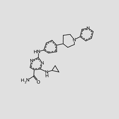 NC(=O)c1cnc(Nc2ccc(C3CCN(c4cccnc4)CC3)cc2)nc1NC1CC1